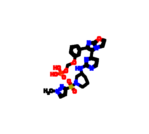 Cn1ccc(S(=O)(=O)N2CCCC(Nc3nccc(-c4c(-c5cccc(OCOP(=O)(O)O)c5)nc5occn45)n3)C2)n1